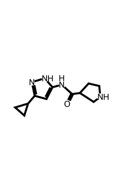 O=C(Nc1cc(C2CC2)n[nH]1)C1CCNC1